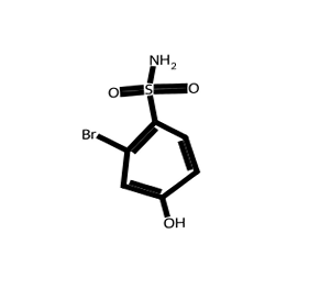 NS(=O)(=O)c1ccc(O)cc1Br